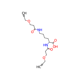 C#CCOCCC(=O)NCCCCC(NC(=O)CCOCC#C)C(=O)O